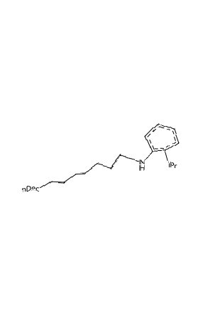 CCCCCCCCCCCCCCCCCNc1ccccc1C(C)C